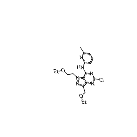 CCOCCn1nc(COCC)c2nc(Cl)nc(Nc3cccc(C)n3)c21